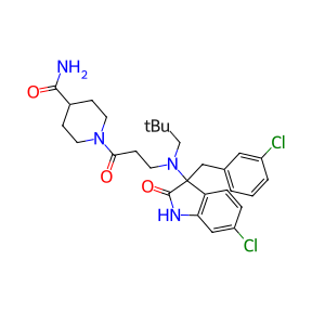 CC(C)(C)CN(CCC(=O)N1CCC(C(N)=O)CC1)C1(Cc2cccc(Cl)c2)C(=O)Nc2cc(Cl)ccc21